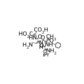 CC(C)C[C@H](N)C(=O)N[C@H](C(=O)N[C@@H](CCN)C(=O)N[C@@H](CC(=O)O)C(=O)O)[C@@H](C)OCc1ccccc1